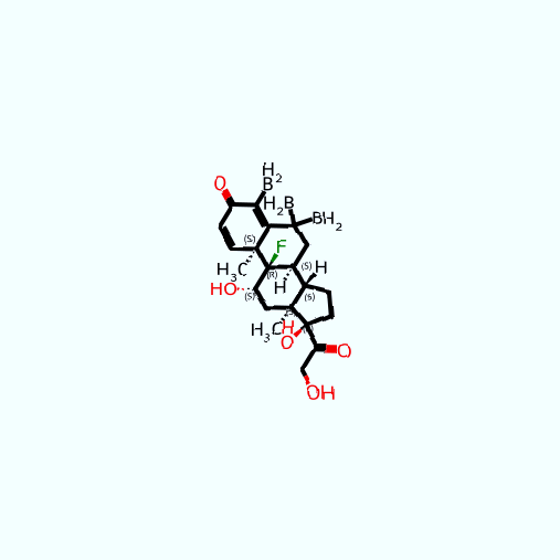 BC1=C2C(B)(B)C[C@H]3[C@@H]4CC[C@](O)(C(=O)CO)[C@@]4(C)C[C@H](O)[C@]3(F)[C@@]2(C)C=CC1=O